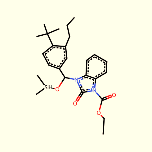 CCCc1cc(C(O[SiH](C)C)n2c(=O)n(C(=O)OCC)c3ccccc32)ccc1C(C)(C)C